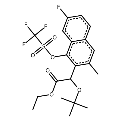 CCOC(=O)C(OC(C)(C)C)c1c(C)cc2ccc(F)cc2c1OS(=O)(=O)C(F)(F)F